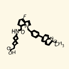 COc1ccc2cc(-c3ccc(Cn4ccc5c(F)ccc(C(=O)NC6CC7(CC(CC(=O)O)C7)C6)c54)cc3)ccc2n1